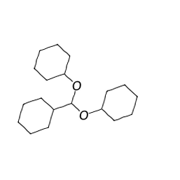 C1CCC(OC(OC2CCCCC2)C2CCCCC2)CC1